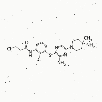 CC1(N)CCN(c2cnc(Sc3cccc(NC(=O)CCCl)c3Cl)c(N)n2)CC1